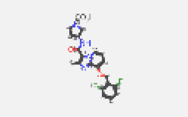 Cc1nc2c(OCc3c(F)cccc3F)cccn2c1C(=O)N[C@H]1CCN(C(=O)O)C1